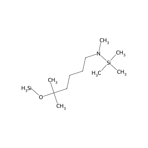 CN(CCCCC(C)(C)O[SiH3])[Si](C)(C)C